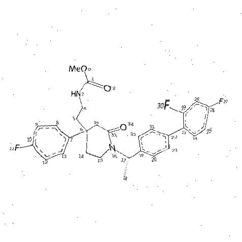 COC(=O)NCCC1(c2ccc(F)cc2)CCN([C@@H](C)c2ccc(-c3ccc(F)cc3F)cc2)C(=O)C1